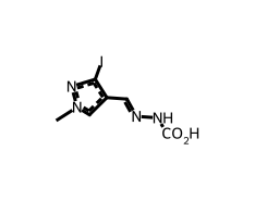 Cn1cc(/C=N/NC(=O)O)c(I)n1